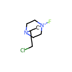 F[N+]12CCN(CC1)C(CCl)C2